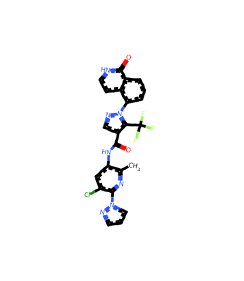 Cc1nc(-n2cccn2)c(Cl)cc1NC(=O)c1cnn(-c2cccc3c(=O)[nH]ccc23)c1C(F)(F)F